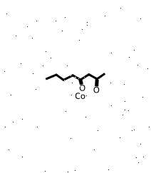 CCCCC(=O)CC(C)=O.[Co]